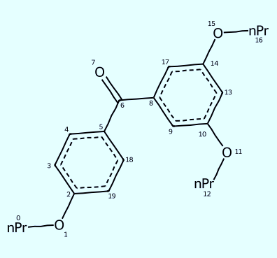 CCCOc1ccc(C(=O)c2cc(OCCC)cc(OCCC)c2)cc1